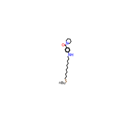 CCCCSCCCCCCCCCCCNc1ccc(C(=O)N2CCCCC2)cc1